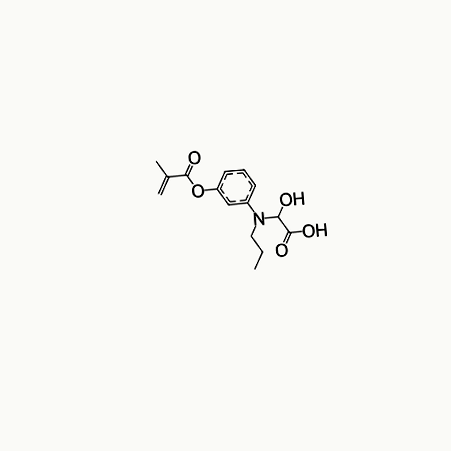 C=C(C)C(=O)Oc1cccc(N(CCC)C(O)C(=O)O)c1